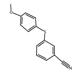 COc1ccc(Sc2cccc(C#N)c2)cc1